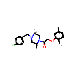 Cc1ccc(C(C)C)c(OCC(=O)N2C[C@@H](C)N(Cc3ccc(F)cc3)C[C@@H]2C)c1